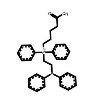 O=C(O)CCCC[PH](CCP(c1ccccc1)c1ccccc1)(c1ccccc1)c1ccccc1